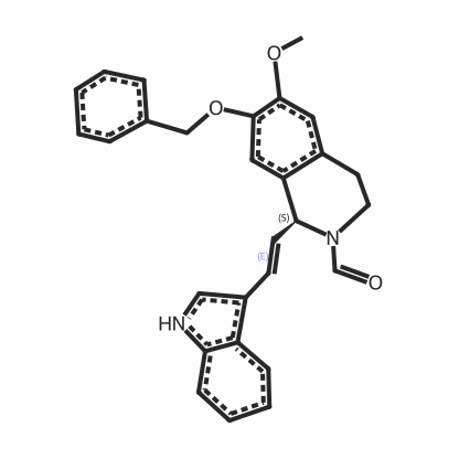 COc1cc2c(cc1OCc1ccccc1)[C@H](/C=C/c1c[nH]c3ccccc13)N(C=O)CC2